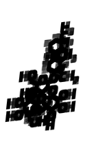 C=C1C[C@@]23CCC4[C@](C)(I)CCC[C@@]4(C)[C@@H]2CC[C@]1(OC1OC(CO)C(O)C(OC2OC(CO)C(O)C(O)C2O)C1OC1OC(CO)C(O)C(O)C1O)C3